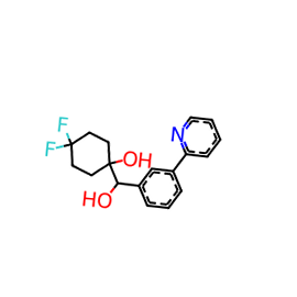 OC(c1cccc(-c2ccccn2)c1)C1(O)CCC(F)(F)CC1